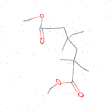 COC(=O)CC(C)(C)CC(C)(C)C(=O)OC